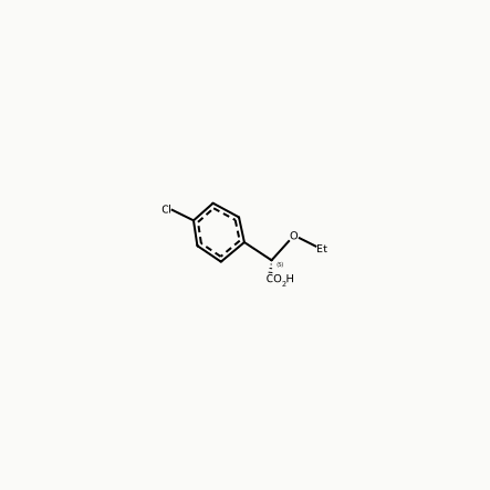 CCO[C@H](C(=O)O)c1ccc(Cl)cc1